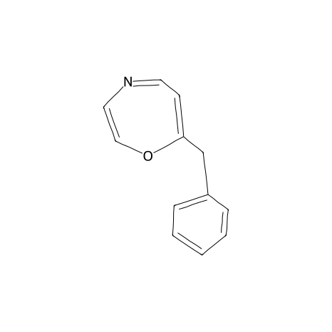 C1=COC(Cc2ccccc2)=CC=N1